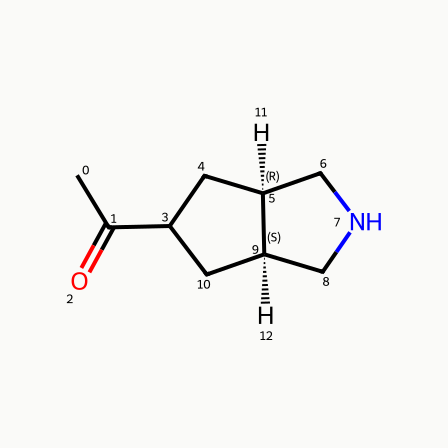 CC(=O)C1C[C@H]2CNC[C@H]2C1